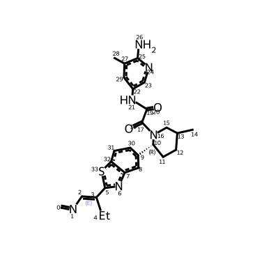 C=N/C=C(\CC)c1nc2cc([C@H]3CCC(C)CN3C(=O)C(=O)Nc3cnc(N)c(C)c3)ccc2s1